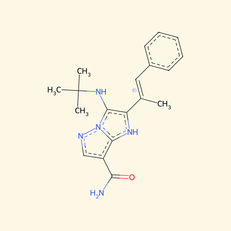 C/C(=C\c1ccccc1)c1[nH]c2c(C(N)=O)cnn2c1NC(C)(C)C